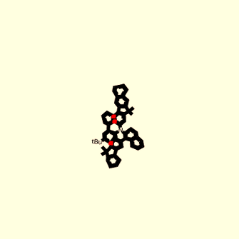 CC(C)(C)c1ccc(N(c2ccc3c(c2)C(C)(C)c2cc4ccccc4cc2-3)c2ccc3ccccc3c2-c2ccc3c(c2)-c2ccccc2C3(C)C)c(-c2ccccc2)c1